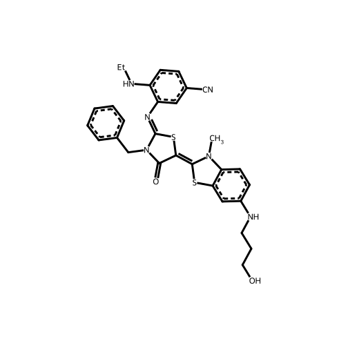 CCNc1ccc(C#N)cc1N=C1SC(=C2Sc3cc(NCCCO)ccc3N2C)C(=O)N1Cc1ccccc1